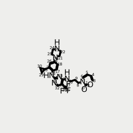 O=C1OC=CC=CN1CCCNc1nc(Nc2ccc(N3CCNCC3)cc2C2CC2)ncc1C(F)(F)F